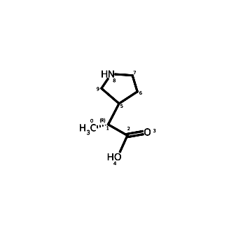 C[C@@H](C(=O)O)C1CCNC1